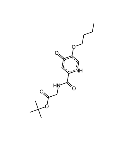 CCCCOc1c[nH]c(C(=O)NCC(=O)OC(C)(C)C)cc1=O